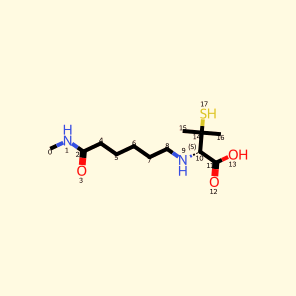 CNC(=O)CCCCCN[C@@H](C(=O)O)C(C)(C)S